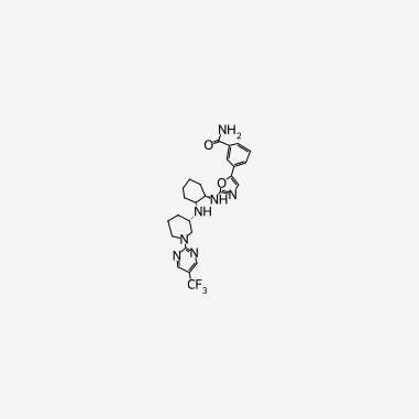 NC(=O)c1cccc(-c2cnc(N[C@@H]3CCCC[C@H]3N[C@H]3CCCN(c4ncc(C(F)(F)F)cn4)C3)o2)c1